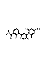 Cc1cnc(-c2cccc(C(=O)N(C)C)c2F)cc1-n1c(C)cc(O)cc1=O